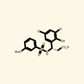 COc1cccc(S(=O)(=O)N[C@@H](CC(=O)O)c2cc(Cl)cc(Cl)c2O)c1